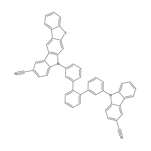 N#Cc1ccc2c(c1)c1ccccc1n2-c1cccc(-c2ccccc2-c2cccc(-n3c4ccc(C#N)cc4c4cc5c(cc43)sc3ccccc35)c2)c1